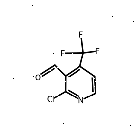 O=Cc1c(C(F)(F)F)ccnc1Cl